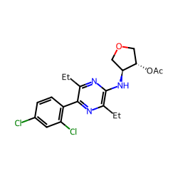 CCc1nc(-c2ccc(Cl)cc2Cl)c(CC)nc1N[C@H]1COC[C@@H]1OC(C)=O